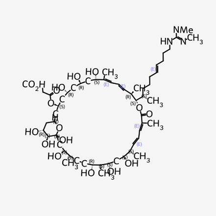 CN=C(NC)NCCC/C=C/CCC[C@H](C)[C@@H]1OC(=O)/C(C)=C/C=C/[C@H](C)[C@@H](O)C[C@H](O)[C@@H](C)[C@H](O)CC[C@H](C)[C@@H](O)C[C@@]2(O)O[C@@H](C[C@@H](OC(=O)CC(=O)O)C[C@H](O)C[C@@H](O)C[C@H](O)/C(C)=C/C=C/[C@H]1C)C[C@@H](O)[C@@H]2O